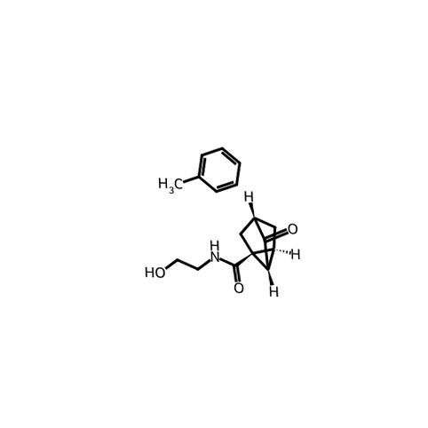 Cc1ccccc1.O=C1[C@H]2C[C@H]3[C@@H]1[C@]3(C(=O)NCCO)C2